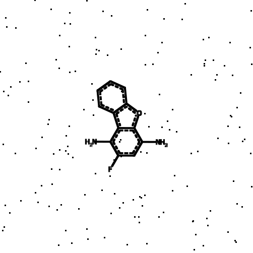 Nc1cc(F)c(N)c2c1oc1ccccc12